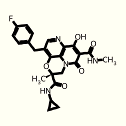 CNC(=O)c1c(O)c2ncc(Cc3ccc(F)cc3)c3c2n(c1=O)C[C@](C)(C(=O)NC1CC1)O3